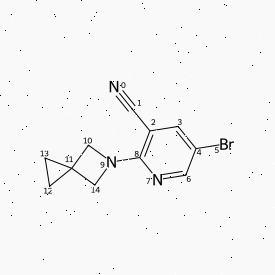 N#Cc1cc(Br)cnc1N1CC2(CC2)C1